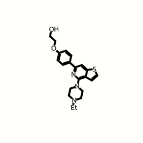 CCN1CCN(c2nc(-c3ccc(OCCO)cc3)cc3sccc23)CC1